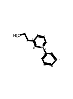 CCCc1ccc[n+](-c2ccccc2)c1